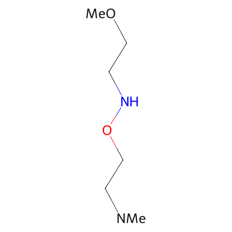 CNCCONCCOC